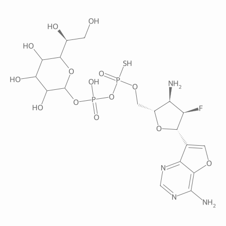 Nc1ncnc2c([C@@H]3O[C@H](COP(=O)(S)OP(=O)(O)OC4OC([C@@H](O)CO)C(O)C(O)C4O)[C@@H](N)[C@H]3F)coc12